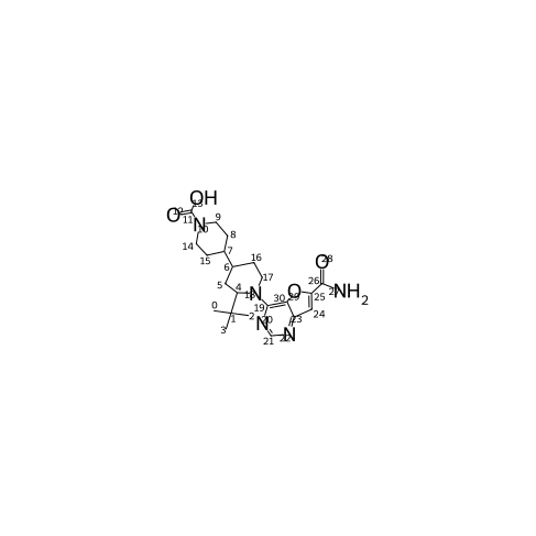 CC(C)(C)C1CC(C2CCN(C(=O)O)CC2)CCN1c1ncnc2cc(C(N)=O)oc12